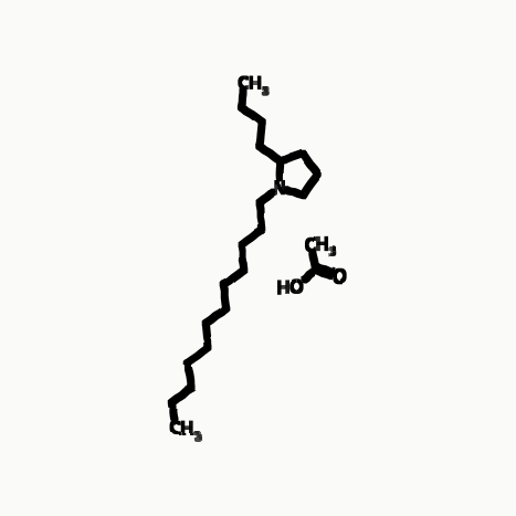 CC(=O)O.CCCCCCCCCCCCN1CCCC1CCCC